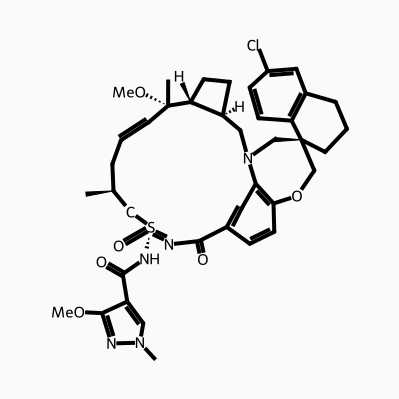 COc1nn(C)cc1C(=O)N[S@@]1(=O)=NC(=O)c2ccc3c(c2)N(C[C@@H]2CC[C@H]2[C@@](C)(OC)/C=C/C[C@H](C)C1)C[C@@]1(CCCc2cc(Cl)ccc21)CO3